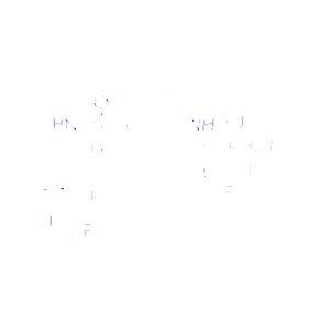 C[C@@](O)(C(=O)Nc1ccc(S(=O)(=O)Nc2cccc(C(F)(F)F)c2)cc1Cl)C(F)(F)F